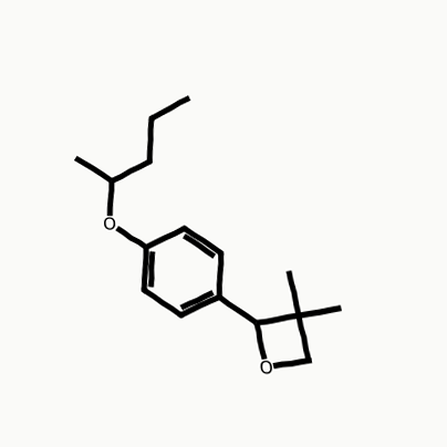 CCCC(C)Oc1ccc(C2OCC2(C)C)cc1